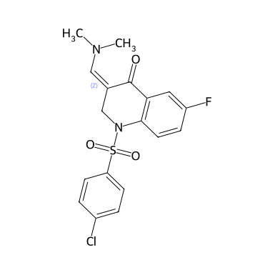 CN(C)/C=C1/CN(S(=O)(=O)c2ccc(Cl)cc2)c2ccc(F)cc2C1=O